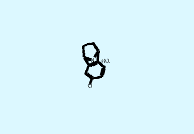 Cl.Clc1ccc2c(c1)C1CCC2N1